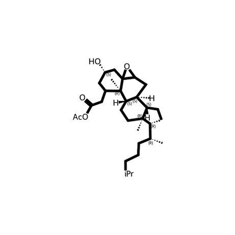 CC(=O)OC(=O)CC1C[C@H](O)CC23OC2C[C@H]2[C@@H]4CC[C@H]([C@H](C)CCCC(C)C)[C@@]4(C)CC[C@@H]2[C@@]13C